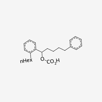 CCCCCCc1ccccc1C(CCCCc1ccccc1)OC(=O)O